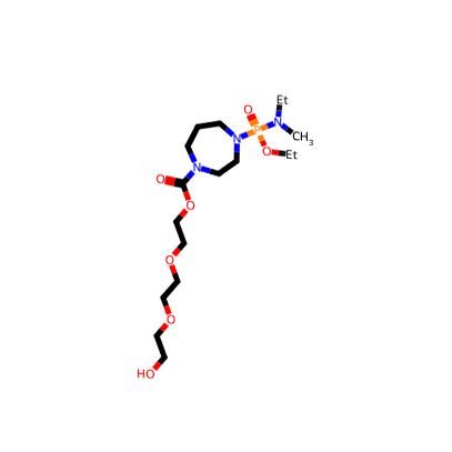 CCOP(=O)(N(C)CC)N1CCCN(C(=O)OCCOCCOCCO)CC1